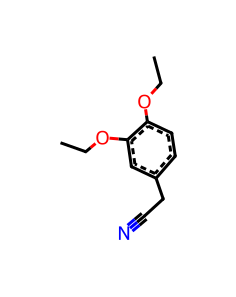 CCOc1ccc(CC#N)cc1OCC